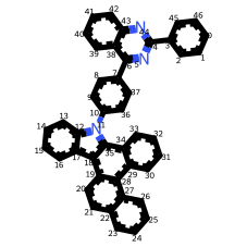 c1ccc(-c2nc(-c3ccc(-n4c5ccccc5c5c6ccc7ccccc7c6c6ccccc6c54)cc3)c3ccccc3n2)cc1